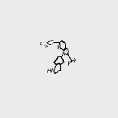 FC(F)c1nc2ccc(C(F)(F)F)nc2n1-c1ccc2c(c1)CCN2